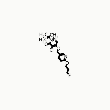 CC(C)(C)n1ncc(OCc2ccc(OCCCF)nc2)c(Cl)c1=O